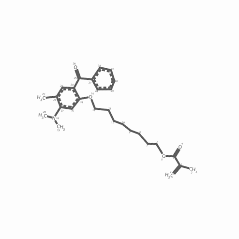 C=C(C)C(=O)OCCCCCCCCOc1cc(N(C)C)c(C)cc1C(=O)c1ccccc1